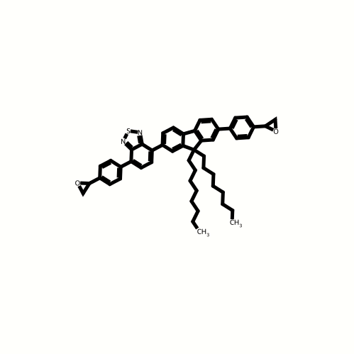 CCCCCCCCC1(CCCCCCCC)c2cc(-c3ccc(C4CO4)cc3)ccc2-c2ccc(-c3ccc(-c4ccc(C5CO5)cc4)c4nsnc34)cc21